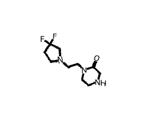 O=C1CNCCN1CCN1CCC(F)(F)C1